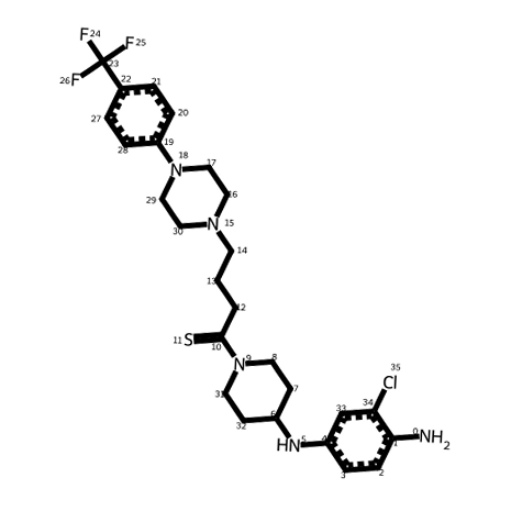 Nc1ccc(NC2CCN(C(=S)CCCN3CCN(c4ccc(C(F)(F)F)cc4)CC3)CC2)cc1Cl